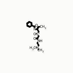 Cc1oc(-c2ccccc2)nc1C[S+]([O-])CC(=O)NCCN(C)C